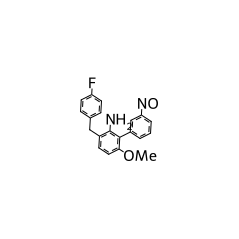 COc1ccc(Cc2ccc(F)cc2)c(N)c1-c1cccc(N=O)c1